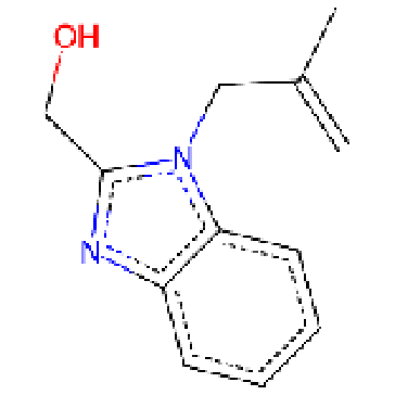 C=C(C)Cn1c(CO)nc2ccccc21